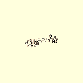 O=C(CCCOCCc1ncc(-c2ccccc2F)[nH]1)c1ccon1